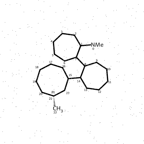 CNC1CCCCCC1C1CCCCCC1C1CCCCC[C@@H](C)C1